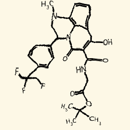 CN1CC(c2ccc(C(F)(F)F)cc2)n2c(=O)c(C(=O)NCC(=O)OC(C)(C)C)c(O)c3cccc1c32